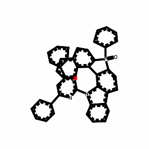 O=P1(c2ccccc2)c2ccc3ccccc3c2-c2c1ccc1c3ccccc3n(-c3nc(-c4ccccc4)cc(-c4ccccc4)n3)c21